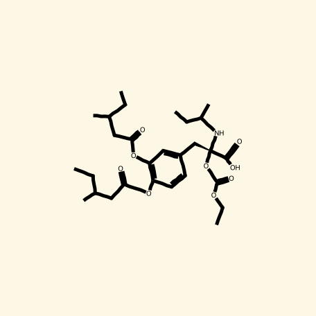 CCOC(=O)O[C@](Cc1ccc(OC(=O)CC(C)CC)c(OC(=O)CC(C)CC)c1)(NC(C)CC)C(=O)O